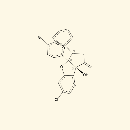 C=C1C[C@@H](c2ccccc2)[C@]2(c3ccc(Br)cc3)Oc3cc(Cl)cnc3[C@@]12O